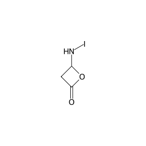 O=C1CC(NI)O1